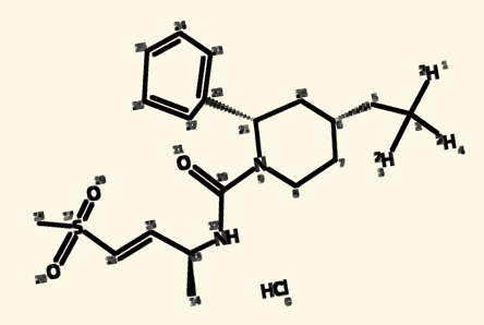 Cl.[2H]C([2H])([2H])C[C@@H]1CCN(C(=O)N[C@@H](C)/C=C/S(C)(=O)=O)[C@H](c2ccccc2)C1